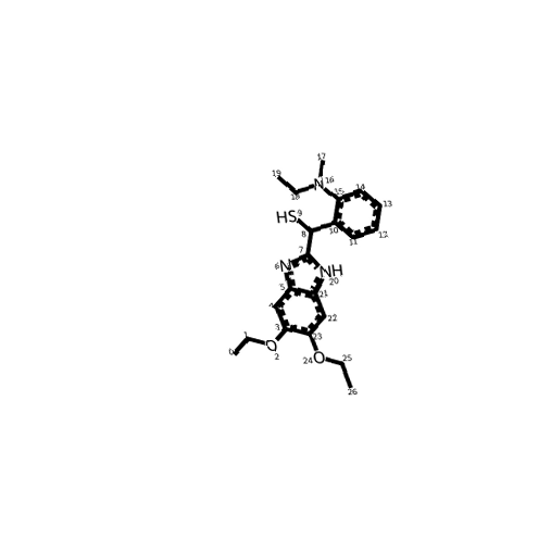 CCOc1cc2nc(C(S)c3ccccc3N(C)CC)[nH]c2cc1OCC